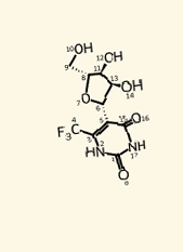 O=c1[nH]c(C(F)(F)F)c([C@@H]2O[C@H](CO)[C@@H](O)[C@H]2O)c(=O)[nH]1